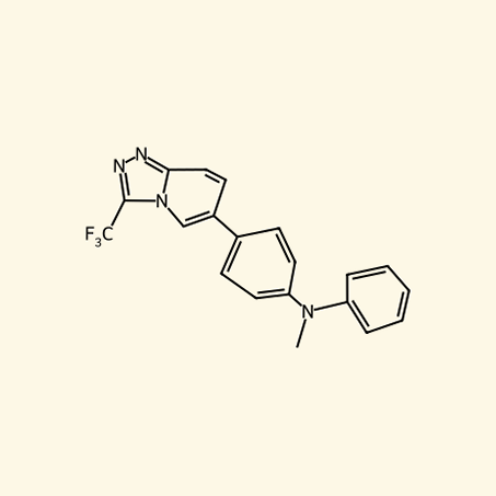 CN(c1ccccc1)c1ccc(-c2ccc3nnc(C(F)(F)F)n3c2)cc1